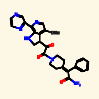 COc1cnc(-c2cnccn2)c2c1C(C(=O)C(=O)N1CCC(=C(C(N)=O)c3ccccc3)CC1)CN2